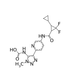 Cn1nnc(-c2ccc(NC(=O)C3C(C4CC4)C3(F)F)cn2)c1NC(=O)O